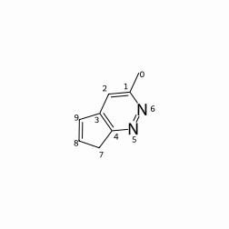 Cc1cc2c(nn1)CC=C2